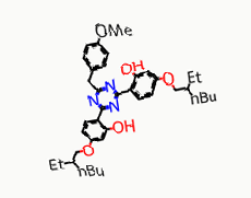 CCCCC(CC)COc1ccc(-c2nc(Cc3ccc(OC)cc3)nc(-c3ccc(OCC(CC)CCCC)cc3O)n2)c(O)c1